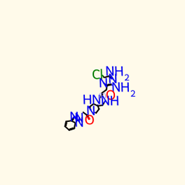 Nc1nc(N)c(C(=O)/C=C2\NCC3(CCN(C(=O)Cn4nc5ccccc5n4)CC3)N2)nc1Cl